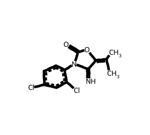 CC(C)=C1OC(=O)N(c2ccc(Cl)cc2Cl)C1=N